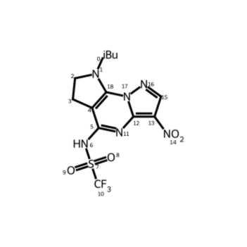 CCC(C)N1CCc2c(NS(=O)(=O)C(F)(F)F)nc3c([N+](=O)[O-])cnn3c21